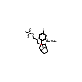 COC(=O)[C@@H]1C2CCC(C[C@]1(CCCOS(C)(=O)=O)c1ccc(I)cc1)N2C